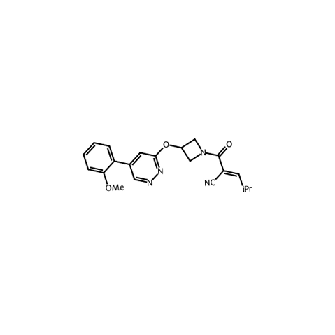 COc1ccccc1-c1cnnc(OC2CN(C(=O)/C(C#N)=C/C(C)C)C2)c1